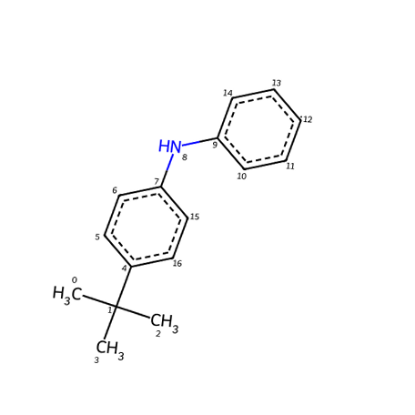 CC(C)(C)c1ccc(Nc2cc[c]cc2)cc1